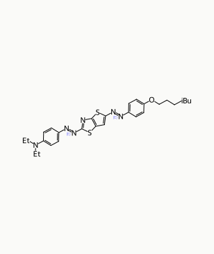 CCC(C)CCCOc1ccc(/N=N/c2cc3sc(/N=N/c4ccc(N(CC)CC)cc4)nc3s2)cc1